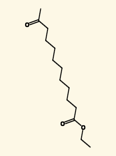 CCOC(=O)CCCCCCCCCC(C)=O